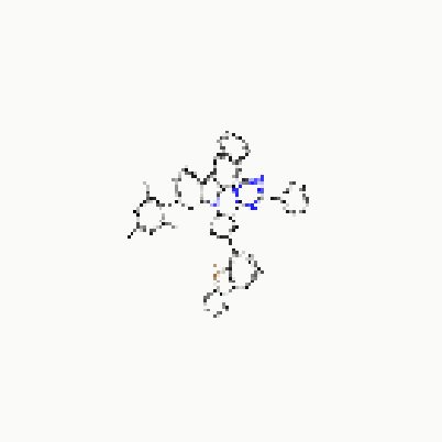 Cc1cc(C)c(-c2ccc3c4ccccc4n(-c4ccc(-c5cccc6c5sc5ccccc56)cc4-c4nc(-c5ccccc5)nc(-c5ccccc5)n4)c3c2)c(C)c1